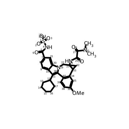 CCC(C)S(=O)(=O)NC(=O)c1ccc2c(C3CCCCC3)c3n(c2c1)CC1(NC(=O)C(=O)N(C)C)CC1c1cc(OC)ccc1-3